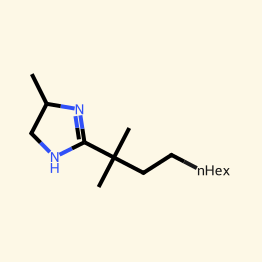 CCCCCCCCC(C)(C)C1=NC(C)CN1